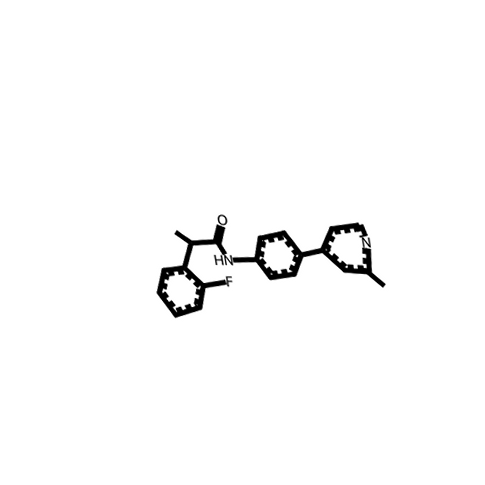 Cc1cc(-c2ccc(NC(=O)C(C)c3ccccc3F)cc2)ccn1